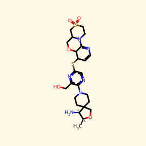 C[C@@H]1OCC2(CCN(c3ncc(SC4C=CN=C5C4OCC4CS(=O)(=O)CCN54)nc3CO)CC2)[C@@H]1N